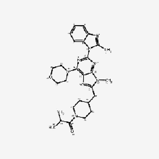 Cc1nc2ccccc2n1-c1nc(N2CCOCC2)c2nc(CC3CCN(C(=O)C(C)N)CC3)n(C)c2n1